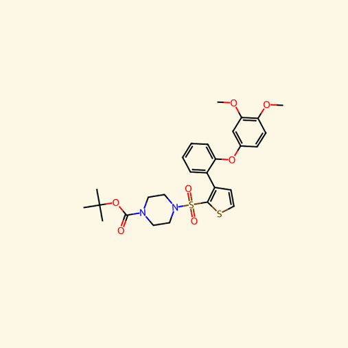 COc1ccc(Oc2ccccc2-c2ccsc2S(=O)(=O)N2CCN(C(=O)OC(C)(C)C)CC2)cc1OC